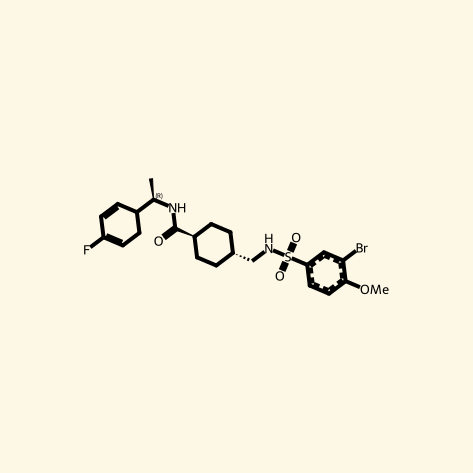 COc1ccc(S(=O)(=O)NC[C@H]2CC[C@H](C(=O)N[C@H](C)C3C=CC(F)=CC3)CC2)cc1Br